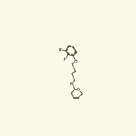 Fc1cccc(OCCCCOC2CCCCO2)c1F